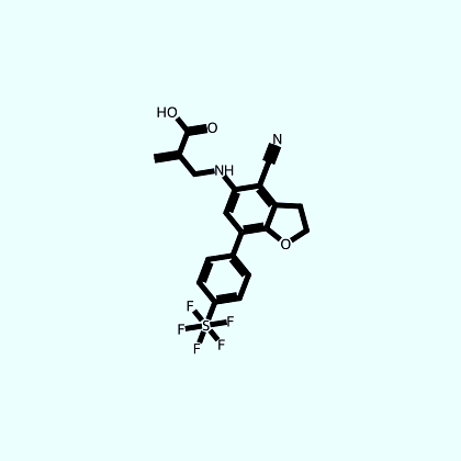 C=C(CNc1cc(-c2ccc(S(F)(F)(F)(F)F)cc2)c2c(c1C#N)CCO2)C(=O)O